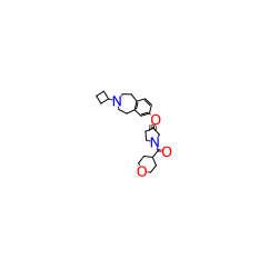 O=C(C1CCOCC1)N1CC[C@@H](Oc2ccc3c(c2)CCN(C2CCC2)CC3)C1